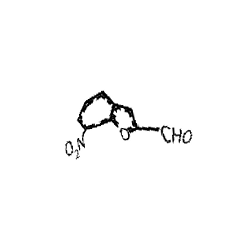 O=Cc1cc2cccc([N+](=O)[O-])c2o1